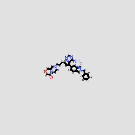 Nc1ncnn2c(CCCN3C=C4COCC(=O)N4CC3)cc(-c3ccc4cn(Cc5ccccc5)nc4c3)c12